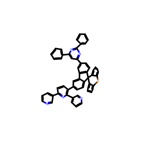 c1ccc(-c2cc(-c3ccc4c(c3)-c3cc(-c5ccc(-c6cccnc6)nc5-c5cccnc5)ccc3C43c4ccccc4Sc4ccccc43)nc(-c3ccccc3)n2)cc1